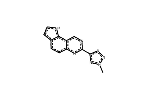 Cn1nnc(-c2ncc3c(ccc4cc[nH]c43)n2)n1